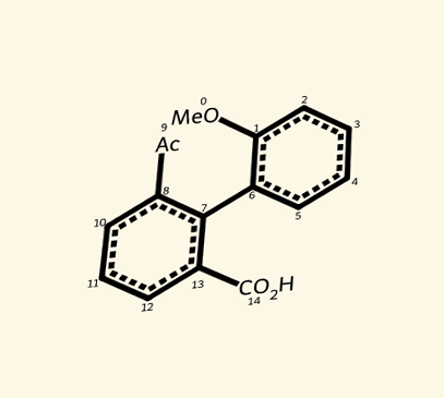 COc1ccccc1-c1c(C(C)=O)cccc1C(=O)O